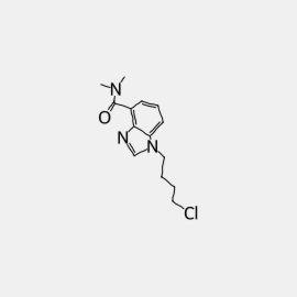 CN(C)C(=O)c1cccc2c1ncn2CCCCCl